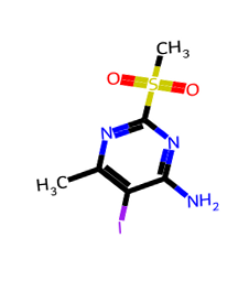 Cc1nc(S(C)(=O)=O)nc(N)c1I